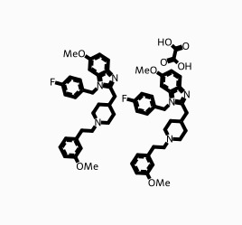 COc1cccc(CCN2CCC(Cc3nc4ccc(OC)cc4n3Cc3ccc(F)cc3)CC2)c1.COc1cccc(CCN2CCC(Cc3nc4ccc(OC)cc4n3Cc3ccc(F)cc3)CC2)c1.O=C(O)C(=O)O